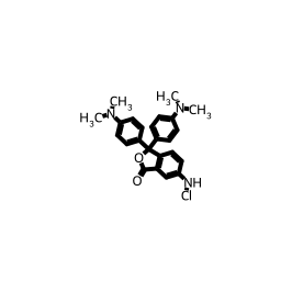 CN(C)c1ccc(C2(c3ccc(N(C)C)cc3)OC(=O)c3cc(NCl)ccc32)cc1